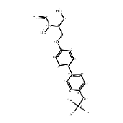 O=CN(O)C(CO)COc1ccc(-c2ccc(OC(F)(F)F)cc2)cc1